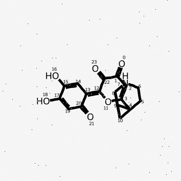 O=C1C=C(C23CCNC4C2C43)O/C(=C2/C=C(O)C(O)=CC2=O)C1=O